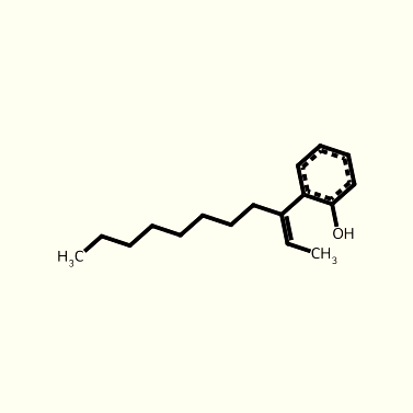 C/C=C(/CCCCCCCC)c1ccccc1O